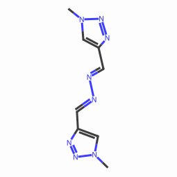 Cn1cc(C=NN=Cc2cn(C)nn2)nn1